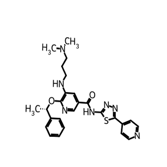 C[C@H](Oc1ncc(C(=O)Nc2nnc(-c3ccncc3)s2)cc1NCCCN(C)C)c1ccccc1